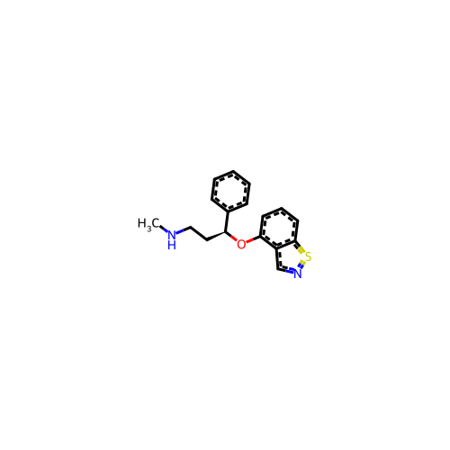 CNCC[C@H](Oc1cccc2sncc12)c1ccccc1